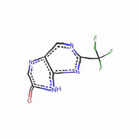 O=c1cnc2cnc(C(F)(F)F)nc2[nH]1